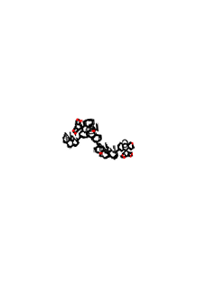 N#Cc1ccc(-c2ccc3ccc4ccc(-c5ccc6c(c5)C5(c7ccccc7O6)c6ccccc6-c6ccccc65)nc4c3n2)cc1-c1cc(-c2ccc3ccc4cccnc4c3n2)cc2c1Oc1ccccc1C21c2ccccc2-c2ccccc21